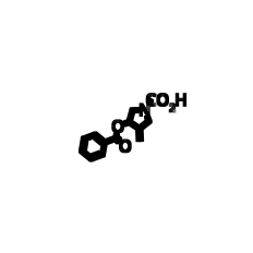 C=C1CN(C(=O)O)CC1OC(=O)c1ccccc1